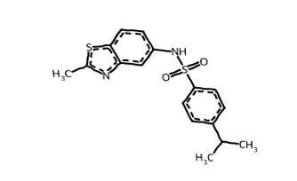 Cc1nc2cc(NS(=O)(=O)c3ccc(C(C)C)cc3)ccc2s1